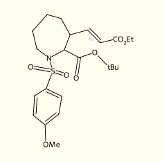 CCOC(=O)/C=C/C1CCCCN(S(=O)(=O)c2ccc(OC)cc2)C1C(=O)OC(C)(C)C